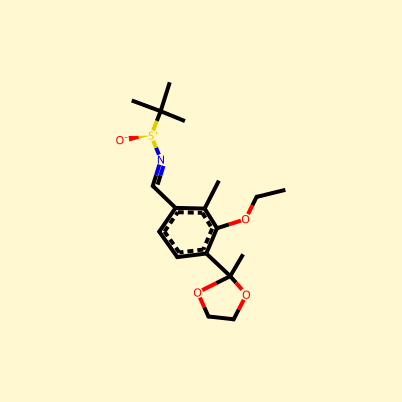 CCOc1c(C2(C)OCCO2)ccc(/C=N/[S@@+]([O-])C(C)(C)C)c1C